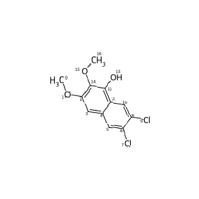 COc1cc2cc(Cl)c(Cl)cc2c(O)c1OC